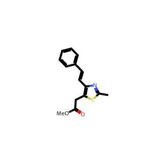 COC(=O)Cc1sc(C)nc1C=Cc1ccccc1